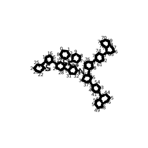 c1ccc([Si]2(c3ccccc3)c3cc(-c4cccc5c4sc4ccccc45)ccc3-c3ccc(-n4c5ccc(-c6ccc(-c7cccc8ccccc78)cc6)cc5c5cc(-c6ccc(-c7cccc8ccccc78)cc6)ccc54)cc32)cc1